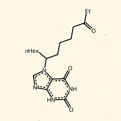 CCCCCCC(CCCCC(=O)CC)n1cnc2[nH]c(=O)[nH]c(=O)c21